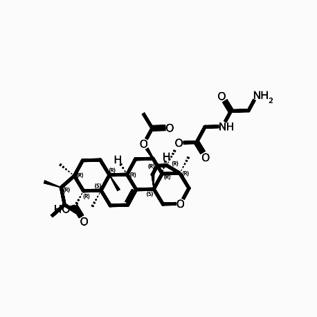 CC(=O)O[C@@H]1C[C@]23COC[C@@](C)([C@@H]2CC[C@H]2C3=CC[C@@]3(C)[C@H](C(=O)O)[C@@](C)([C@H](C)C(C)C)CC[C@]23C)[C@H]1OC(=O)CNC(=O)CN